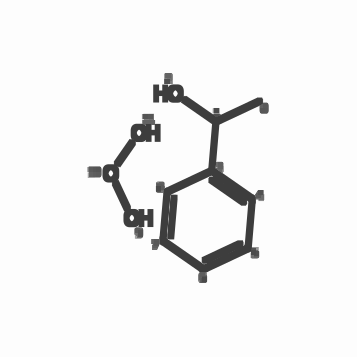 CC(O)c1ccccc1.OOO